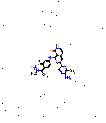 C=c1cc(Nc2nc(-c3cnc(N)c(C)n3)cc3cc[nH]c(=O)c23)cc/c1=C(\C)N(C)N